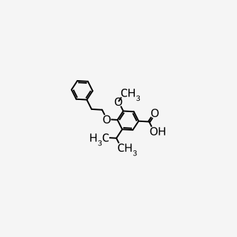 COc1cc(C(=O)O)cc(C(C)C)c1OCCc1ccccc1